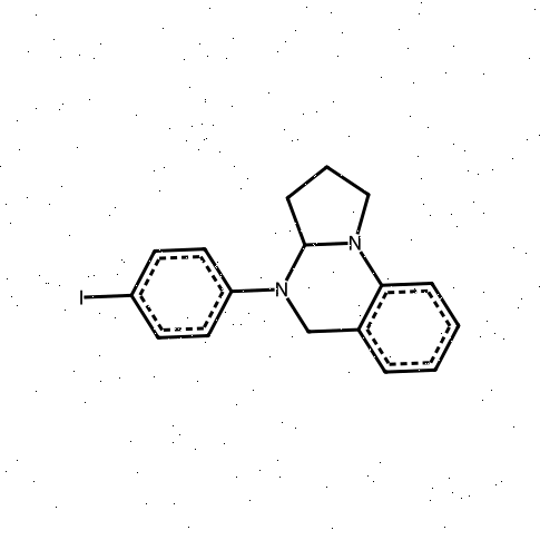 Ic1ccc(N2Cc3ccccc3N3CCCC23)cc1